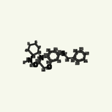 CN(C)[C@H]1CCCC[C@@H]1N1C(=O)COc2cc(SCc3ccccc3)ccc21